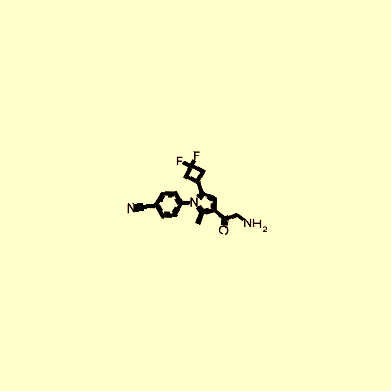 Cc1c(C(=O)CN)cc(C2CC(F)(F)C2)n1-c1ccc(C#N)cc1